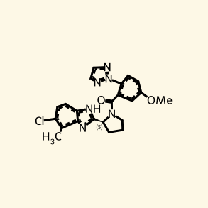 COc1ccc(-n2nccn2)c(C(=O)N2CCC[C@H]2c2nc3c(C)c(Cl)ccc3[nH]2)c1